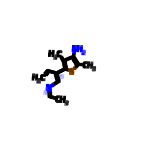 C=C/C(=C\N=C/C)c1sc(C)c(N)c1C